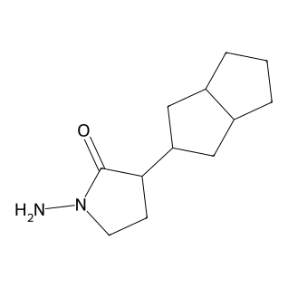 NN1CCC(C2CC3CCCC3C2)C1=O